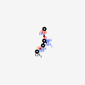 Cc1ccc(F)c(NC(=O)Nc2ccc(-c3ccc(OCCNS(=O)(=O)c4ccccc4)c4[nH]nc(N)c34)cc2)c1